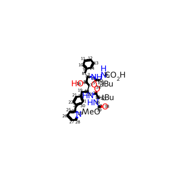 CC[C@H](C)[C@H](NC(=O)O)C(=O)N[C@@H](Cc1ccccc1)[C@@H](O)C[C@H](Cc1ccc(-c2ccccn2)cc1)NC(=O)[C@@H](NC(=O)OC)C(C)(C)C